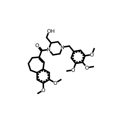 COc1cc2c(cc1OC)CCCC(C(=O)N1CCN(Cc3cc(OC)c(OC)c(OC)c3)CC1CO)=C2